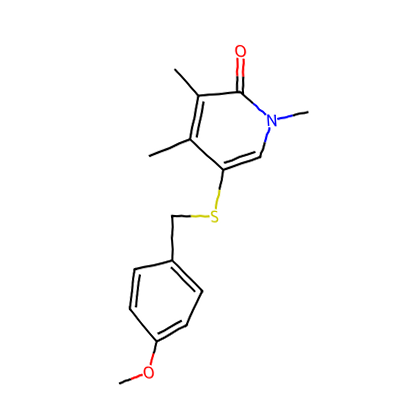 COc1ccc(CSc2cn(C)c(=O)c(C)c2C)cc1